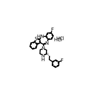 Cl.Cl.Fc1cccc(CC[C@H]2CN(C3=Nc4ccc(F)cc4Nc4sc5ccccc5c43)CCN2)c1